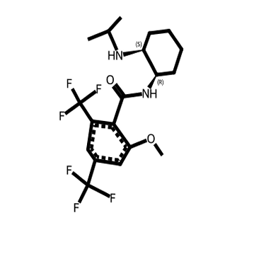 COc1cc(C(F)(F)F)cc(C(F)(F)F)c1C(=O)N[C@@H]1CCCC[C@@H]1NC(C)C